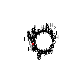 COc1ccc(C[C@@H]2NC(=O)[C@H]([C@@H](C)O)NC(=O)[C@@H]3C[C@H](F)CN3C(=O)[C@H](Cc3c[nH]c4ccc(F)cc34)NC(=O)[C@H](Cc3c[nH]c4ccc(F)cc34)NC(=O)[C@H](C)NC(=O)[C@H](CCCCN)NC(=O)[C@@H](NC(C)=O)CC(=O)NCCOc3ccc(cc3)C[C@@H](C(N)=O)NC(=O)[C@]3(C)CCCN3C2=O)cc1